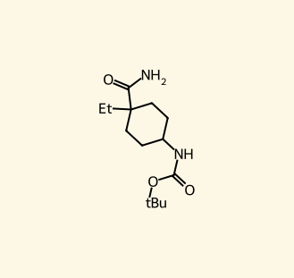 CCC1(C(N)=O)CCC(NC(=O)OC(C)(C)C)CC1